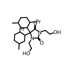 CC1CCC(C(C)C)C(C2(C3CC(C)CCC3C(C)C)C(=O)N(CCO)C(=O)N2CCO)C1